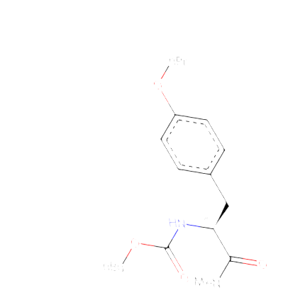 CCCCOC(=O)N[C@@H](Cc1ccc(OCCC)cc1)C(=O)NC